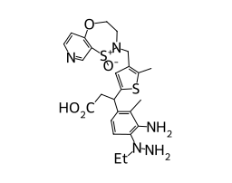 CCN(N)c1ccc(C(CC(=O)O)c2cc(CN3CCOc4ccncc4[S+]3[O-])c(C)s2)c(C)c1N